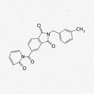 Cc1cccc(CN2C(=O)c3ccc(C(=O)n4ccccc4=O)cc3C2=O)c1